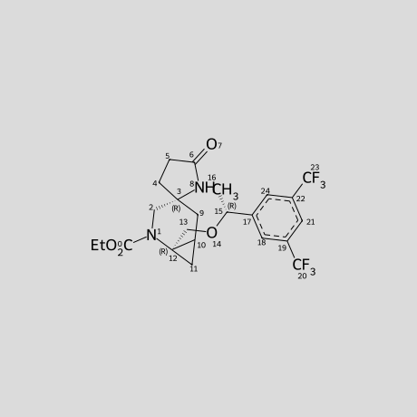 CCOC(=O)N1C[C@@]2(CCC(=O)N2)CC2C[C@]21CO[C@H](C)c1cc(C(F)(F)F)cc(C(F)(F)F)c1